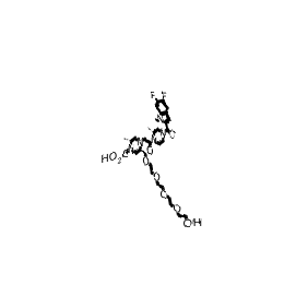 C[C@@H]1CN(CC(=O)N2CCN(C(=O)c3cc4cc(F)c(F)cc4n3C)C[C@H]2C)[C@@H](COCCOCCOCCOCCO)CN1C(=O)O